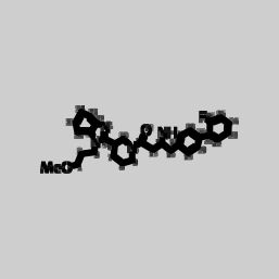 COCCCn1c(C2CCCN(C(=O)CC(N)Cc3ccc(-c4ccccc4F)cc3)C2)nc2ccccc21